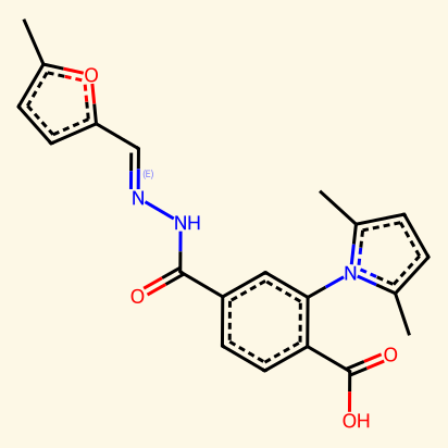 Cc1ccc(/C=N/NC(=O)c2ccc(C(=O)O)c(-n3c(C)ccc3C)c2)o1